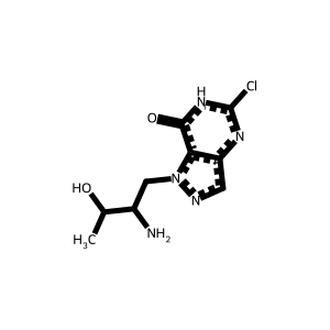 CC(O)C(N)Cn1ncc2nc(Cl)[nH]c(=O)c21